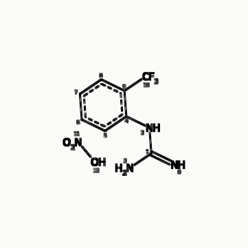 N=C(N)Nc1ccccc1C(F)(F)F.O=[N+]([O-])O